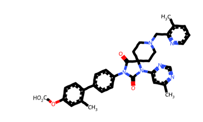 Cc1cc(N2C(=O)N(c3ccc(-c4ccc(OC(=O)O)cc4C)cc3)C(=O)C23CCN(Cc2ncccc2C)CC3)ncn1